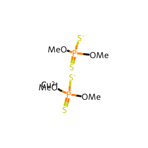 COP(=S)([S-])OC.COP(=S)([S-])OC.[Cu+2]